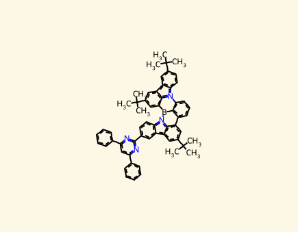 CC(C)(C)c1cc2c3c(c1)c1cc(-c4nc(-c5ccccc5)cc(-c5ccccc5)n4)ccc1n3B1c3c-2cccc3-n2c3ccc(C(C)(C)C)cc3c3cc(C(C)(C)C)cc1c32